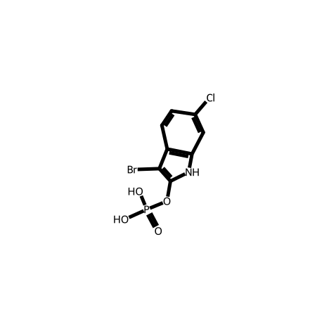 O=P(O)(O)Oc1[nH]c2cc(Cl)ccc2c1Br